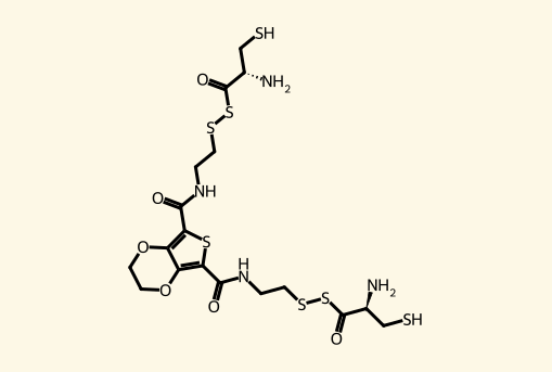 N[C@@H](CS)C(=O)SSCCNC(=O)c1sc(C(=O)NCCSSC(=O)[C@@H](N)CS)c2c1OCCO2